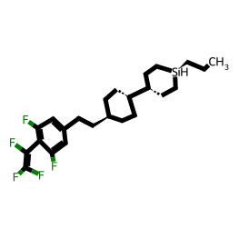 CCC[Si@H]1CC[C@H]([C@H]2CC[C@H](CCc3cc(F)c(C(F)=C(F)F)c(F)c3)CC2)CC1